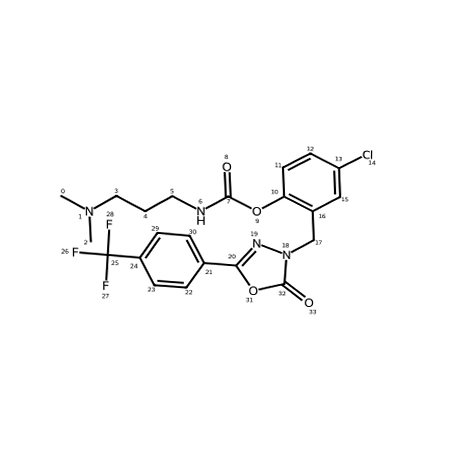 CN(C)CCCNC(=O)Oc1ccc(Cl)cc1Cn1nc(-c2ccc(C(F)(F)F)cc2)oc1=O